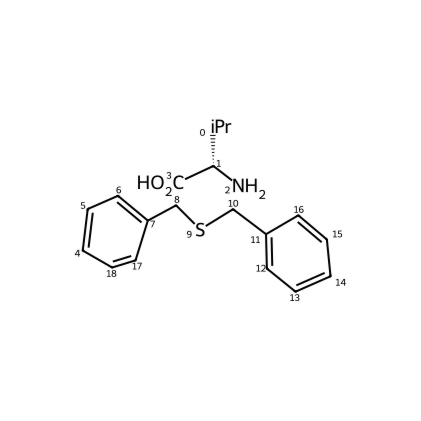 CC(C)[C@H](N)C(=O)O.c1ccc(CSCc2ccccc2)cc1